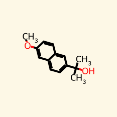 COc1ccc2cc(C(C)(C)O)ccc2c1